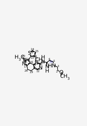 COCCN/C=C\C(=N)Nc1ncc2c(n1)-c1c(nn(C)c1-c1sccc1C)CC2